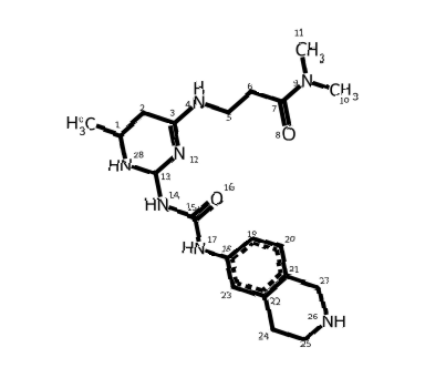 CC1CC(NCCC(=O)N(C)C)=NC(NC(=O)Nc2ccc3c(c2)CCNC3)N1